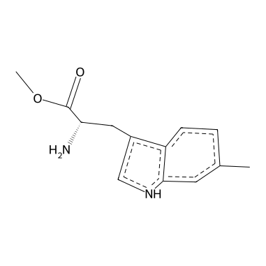 COC(=O)[C@@H](N)Cc1c[nH]c2cc(C)ccc12